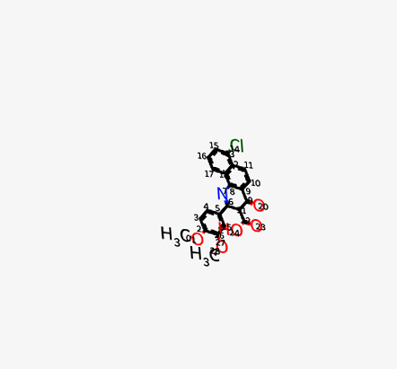 COc1ccc(C2=Nc3c(ccc4c(Cl)cccc34)C(=O)C2C(=O)O)cc1OC